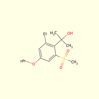 CCCOc1cc(CC)c(C(C)(C)O)c(S(C)(=O)=O)c1